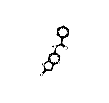 O=C1Cc2ncc(NC(=O)c3ccccc3)cc2O1